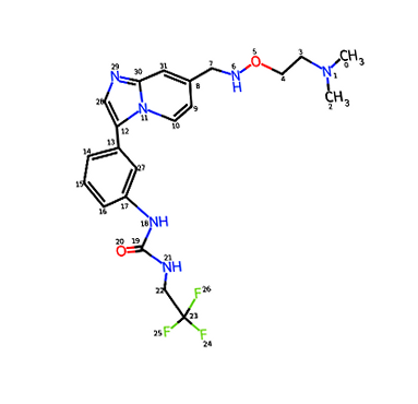 CN(C)CCONCc1ccn2c(-c3cccc(NC(=O)NCC(F)(F)F)c3)cnc2c1